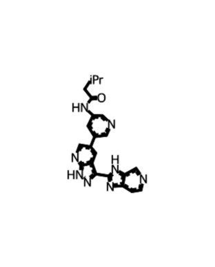 CC(C)CC(=O)Nc1cncc(-c2cnc3[nH]nc(-c4nc5ccncc5[nH]4)c3c2)c1